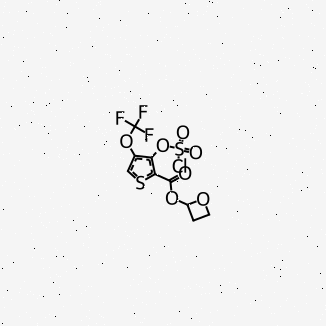 O=C(OC1CCO1)c1scc(OC(F)(F)F)c1OS(=O)(=O)Cl